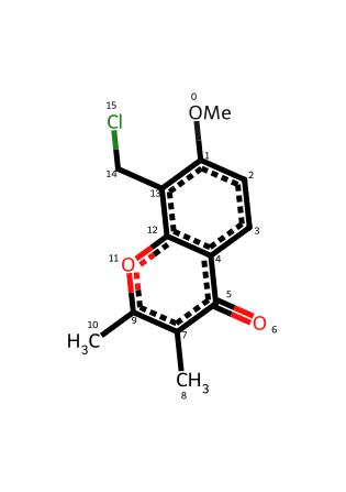 COc1ccc2c(=O)c(C)c(C)oc2c1CCl